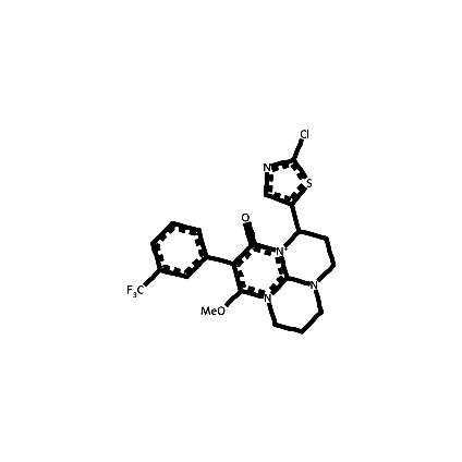 COc1c(-c2cccc(C(F)(F)F)c2)c(=O)[n+]2c3n1CCCN3CCC2c1cnc(Cl)s1